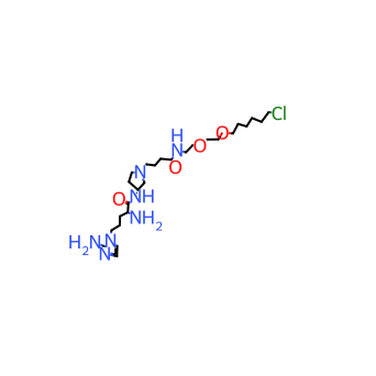 Nc1nccn1CCC[C@H](N)C(=O)N[C@@H]1CCN(CCCC(=O)NCCOCCOCCCCCCCl)C1